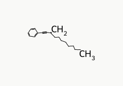 C=C(C#Cc1ccccc1)CCCCCCCCC